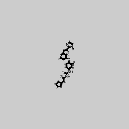 Cn1ccnc1-c1cc2nccc(Oc3ccc(NC(=S)NC(=O)CC4CCCC4)cc3F)c2s1